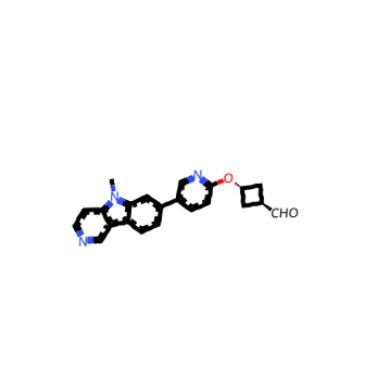 Cn1c2ccncc2c2ccc(-c3ccc(O[C@H]4C[C@H](C=O)C4)nc3)cc21